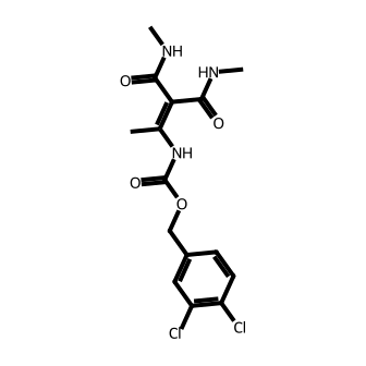 CNC(=O)C(C(=O)NC)=C(C)NC(=O)OCc1ccc(Cl)c(Cl)c1